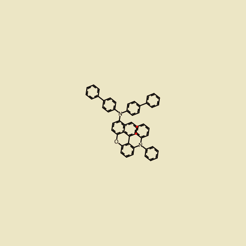 c1ccc(-c2ccc(N(c3ccc(-c4ccccc4)cc3)c3ccc4c5c(cccc35)-c3c(cccc3N(c3ccccc3)c3ccccc3)O4)cc2)cc1